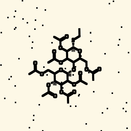 CCS[C@@H]1OC(COC(C)=O)C(O[C@H]2OC(COC(C)=O)[C@@H](OC(C)=O)C(OC(C)=O)C2OC(C)=O)C(OC(C)=O)C1OC(C)=O